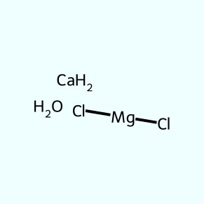 O.[CaH2].[Cl][Mg][Cl]